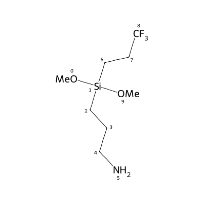 CO[Si](CCCN)(CCC(F)(F)F)OC